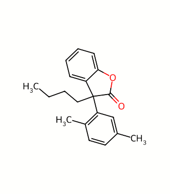 CCCCC1(c2cc(C)ccc2C)C(=O)Oc2ccccc21